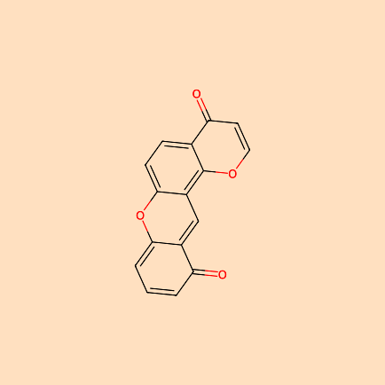 O=c1cccc2oc3ccc4c(=O)ccoc4c3cc1-2